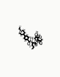 CC[C@H](C)[C@H](NC(=O)c1ccc(C2CCN(CC)CC2)cc1)C(=O)N1C[C@H](OC)[C@H]2OCC(=O)[C@H]21